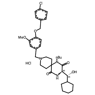 CCCCN1C(=O)[C@@H]([C@H](O)C2CCCCC2)NC(=O)C12CCN(Cc1ccc(OCc3ccc(Cl)cc3)c(OC)c1)CC2.Cl